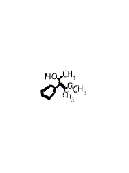 CO/C(C)=C(/c1ccccc1)C(C)O